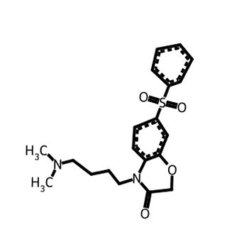 CN(C)CCCCN1C(=O)COc2cc(S(=O)(=O)c3ccccc3)ccc21